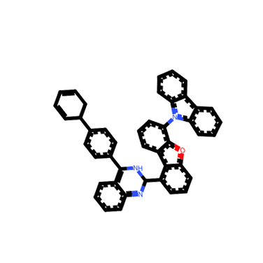 C1=CCC(c2ccc(C3=c4ccccc4=NC(c4cccc5oc6c(-n7c8ccccc8c8ccccc87)cccc6c45)N3)cc2)C=C1